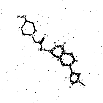 COC1CCN(CC(=O)Nc2cc3cc(-c4cn(C)nn4)ccc3nn2)CC1